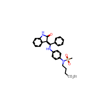 CCOC(=O)CCCN(c1ccc(NC(=C2C(=O)Nc3ccccc32)c2ccccc2)cc1)S(C)(=O)=O